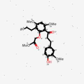 COC(=O)COc1c(CCC(C)C)c(OC)cc(OC)c1C(=O)CCc1ccc(O)c(OC)c1